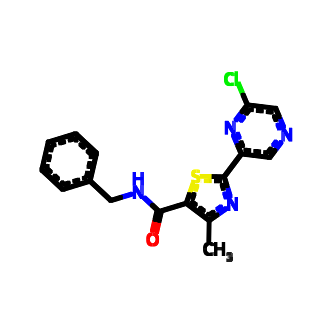 Cc1nc(-c2cncc(Cl)n2)sc1C(=O)NCc1ccccc1